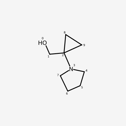 OCC1(N2CCCC2)CC1